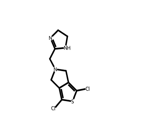 Clc1sc(Cl)c2c1CN(CC1=NCCN1)C2